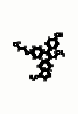 CCC(=C(c1ccc(O)cc1)c1ccc(OCCCl)cc1)c1ccc2c(c1)ncn2C